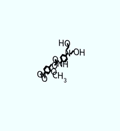 COc1cc([N+](=O)[O-])ccc1COC(=O)Nc1ccc(N(CCO)CCO)cc1